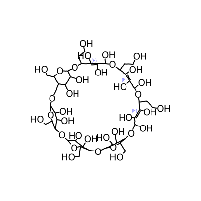 OCCC1OC(O)/C(O)=C(\O)C(CCO)OC2OC(CO)C(OC3OC(CO)C(OC4OC(CO)C(OC5OC(CO)C(OC(O)/C(O)=C(\O)C(CCO)OC(O)/C(O)=C/1O)C(O)C5O)C(O)C4O)C(O)C3O)C(O)C2O